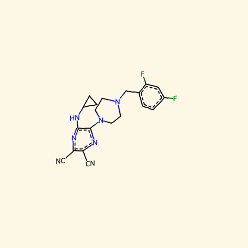 N#Cc1nc(NC2CC2)c(N2CCN(Cc3ccc(F)cc3F)CC2)nc1C#N